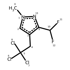 Cn1cc(CC(Cl)(Cl)Cl)c(C(F)F)n1